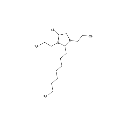 CCCCCCCCC1N(CCO)CC(Cl)N1CCC